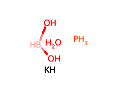 O.OBO.P.[KH]